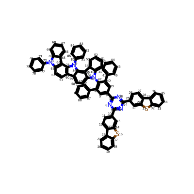 c1ccc(-c2cc(-c3nc(-c4ccc5c(c4)sc4ccccc45)nc(-c4ccc5c(c4)sc4ccccc45)n3)cc(-c3ccccc3)c2-n2c3ccccc3c3c2ccc2c4ccc5c(c6ccccc6n5-c5ccccc5)c4n(-c4ccccc4)c23)cc1